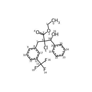 CCOC(=O)C(Cl)(Cc1cccc(C(F)(F)F)c1)C(O)c1ccccc1